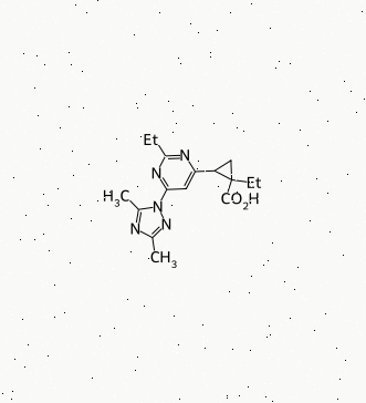 CCc1nc(C2CC2(CC)C(=O)O)cc(-n2nc(C)nc2C)n1